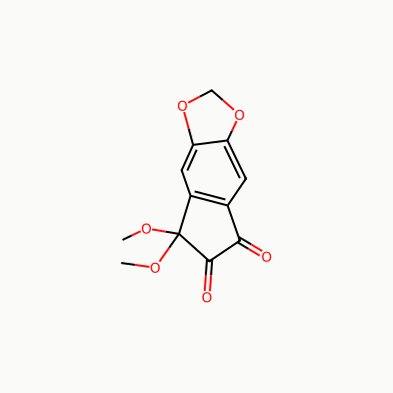 COC1(OC)C(=O)C(=O)c2cc3c(cc21)OCO3